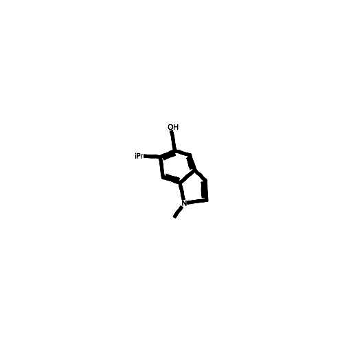 CC(C)c1cc2c(ccn2C)cc1O